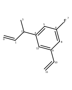 C=C[C](C)c1cc(F)cc(C=C)c1